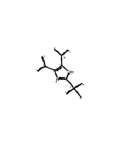 CC(C)c1nc(C(C)(C)C)[nH]c1C(C)C